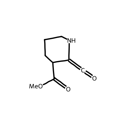 COC(=O)C1CCCNC1=C=O